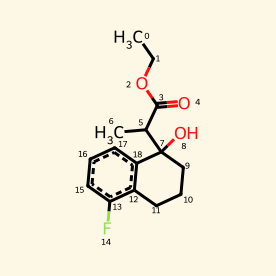 CCOC(=O)C(C)C1(O)CCCc2c(F)cccc21